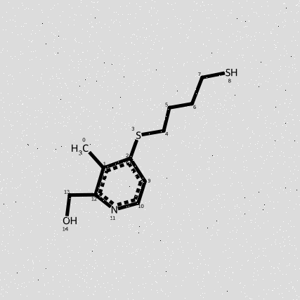 Cc1c(SCCCCS)ccnc1CO